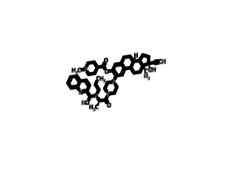 C#C[C@]1(O)CCC2[C@@H]3CCc4cc(OC(=O)C5CCN(C)CC5)c(N5CCN(C(=O)[C@H](C)N(CCC)C(O)c6ccc7ccccc7n6)CC5)cc4C3CC[C@@]21C